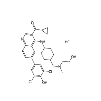 CN(CCO)CC1CCC(Nc2c(C(=O)C3CC3)cnc3ccc(-c4cc(Cl)c(O)c(Cl)c4)cc23)CC1.Cl